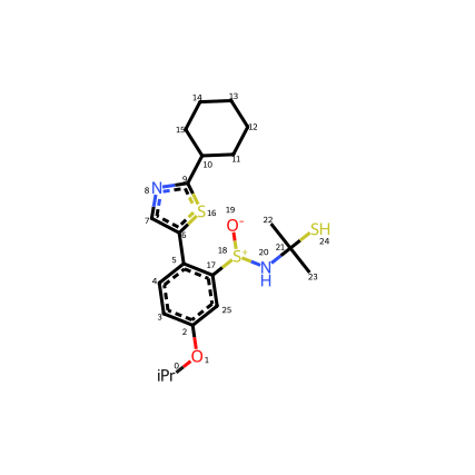 CC(C)Oc1ccc(-c2cnc(C3CCCCC3)s2)c([S+]([O-])NC(C)(C)S)c1